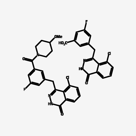 COC1CCN(C(=O)c2cc(F)cc(Cc3n[nH]c(=O)c4cccc(Cl)c34)c2)CC1.O=C(O)c1cc(F)cc(Cc2n[nH]c(=O)c3cccc(Cl)c23)c1